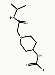 CC(C)NC(=O)CN1CCN(NC([O])=O)CC1